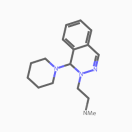 CNCCN1N=Cc2ccccc2C1N1CCCCC1